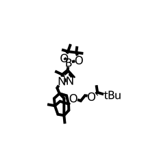 C[C](OCCOC12CC3(C)CC(C)(CC(Cn4ncc(B5OC(C)(C)C(C)(C)O5)c4C)(C3)C1)C2)C(C)(C)C